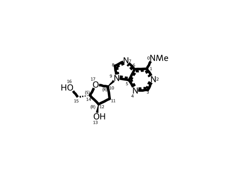 CNc1ncnc2c1ncn2[C@H]1C[C@@H](O)[C@H](CO)O1